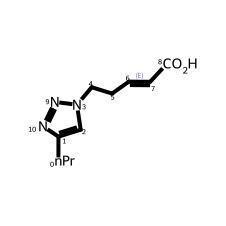 CCCc1cn(CC/C=C/C(=O)O)nn1